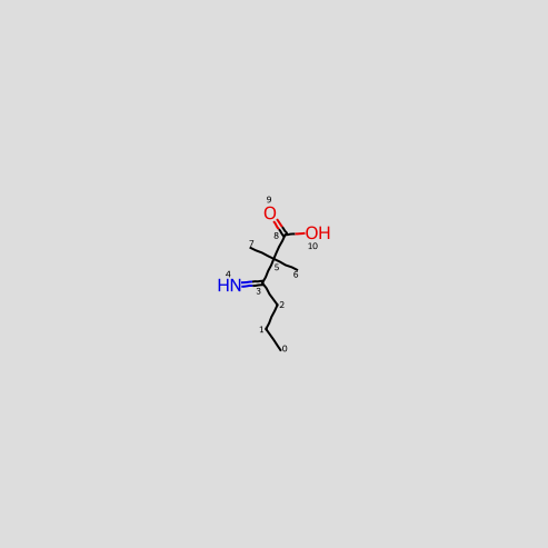 CCCC(=N)C(C)(C)C(=O)O